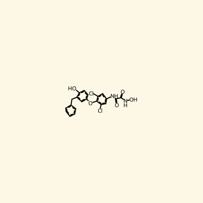 O=C(NO)C(=O)Nc1cc(Cl)c(Oc2ccc(O)c(Cc3ccccc3)c2)c(Cl)c1